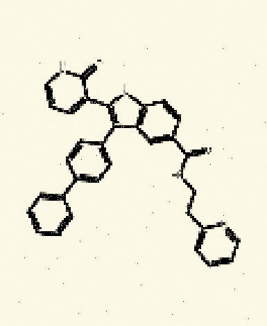 O=C(NCCc1ccccn1)c1ccc2[nH]c(-c3ccc[nH]c3=O)c(-c3ccc(-c4ccccc4)cc3)c2c1